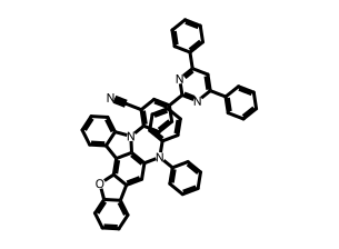 N#Cc1cc(-c2nc(-c3ccccc3)cc(-c3ccccc3)n2)ccc1-n1c2ccccc2c2c3oc4ccccc4c3cc(N(c3ccccc3)c3ccccc3)c21